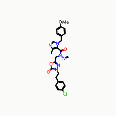 C=NN(Cc1nn(CCc2ccc(Cl)cc2)c(=O)o1)C(=O)c1c(C)ncn1Cc1ccc(OC)cc1